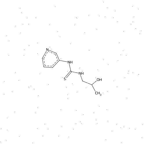 CC(O)CNC(=S)Nc1cccnc1